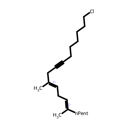 CCCCC/C(C)=C/C/C=C(\C)CC#CCCCCCCCl